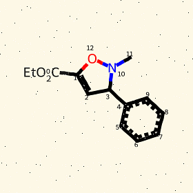 CCOC(=O)C1=CC(c2ccccc2)N(C)O1